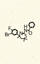 CC1(C)CC(C)(c2ccc(F)c(Br)c2)N=C(NC(=O)c2ccccc2)S1